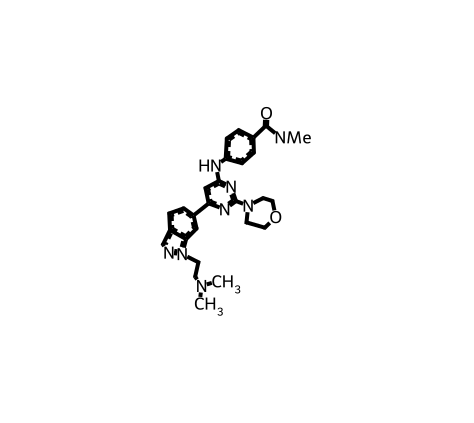 CNC(=O)c1ccc(Nc2cc(-c3ccc4cnn(CCN(C)C)c4c3)nc(N3CCOCC3)n2)cc1